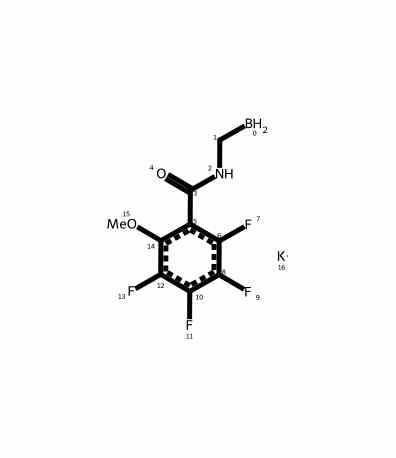 BCNC(=O)c1c(F)c(F)c(F)c(F)c1OC.[K]